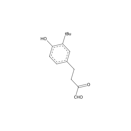 CC(C)(C)c1cc(CCC(=O)C=O)ccc1O